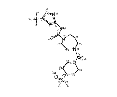 CC(C)(C)c1cc(NC(=O)N2CCCN(C(=O)C3CCN(S(C)(=O)=O)CC3)CC2)no1